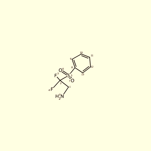 NCC(F)(F)S(=O)(=O)c1ccccc1